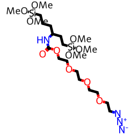 CO[Si](CCCC(CC[Si](OC)(OC)OC)NC(=O)OCCOCCOCCOCCN=[N+]=[N-])(OC)OC